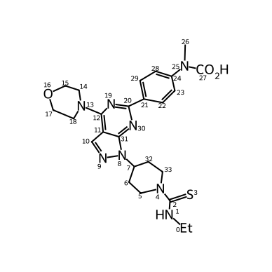 CCNC(=S)N1CCC(n2ncc3c(N4CCOCC4)nc(-c4ccc(N(C)C(=O)O)cc4)nc32)CC1